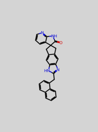 O=C1Nc2ncccc2C12Cc1cc3nc(Cc4cccc5ccccc45)[nH]c3cc1C2